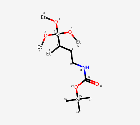 CCO[Si](OCC)(OCC)C(CC)CCNC(=O)O[Si](C)(C)C